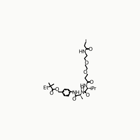 CCC(C)(C)C(=O)OCc1ccc(NC(=O)[C@H](C)NC(=O)[C@@H](NC(=O)CCOCCOCCNC(=O)CI)C(C)C)cc1